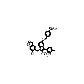 CSc1ccc(COc2ccc3c(c2)c(-c2ccc(C)cc2)c(C(=O)O)n3Cc2cc3c(cc2Cl)OOC3)cc1